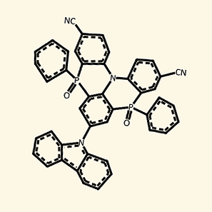 N#Cc1ccc2c(c1)P(=O)(c1ccccc1)c1cc(-n3c4ccccc4c4ccccc43)cc3c1N2c1ccc(C#N)cc1P3(=O)c1ccccc1